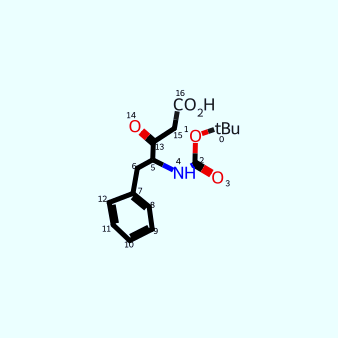 CC(C)(C)OC(=O)NC(Cc1ccccc1)C(=O)CC(=O)O